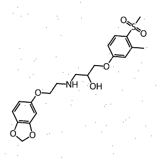 Cc1cc(OCC(O)CNCCOc2ccc3c(c2)OCO3)ccc1S(C)(=O)=O